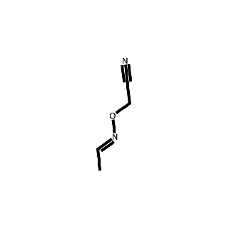 CC=NOCC#N